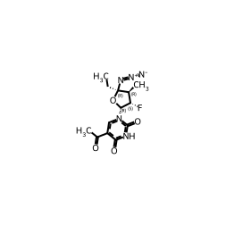 CC[C@@]1(N=[N+]=[N-])O[C@@H](n2cc(C(C)=O)c(=O)[nH]c2=O)[C@@H](F)[C@@H]1C